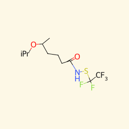 CC(C)OC(C)CCCC(=O)NSC(F)(F)C(F)(F)F